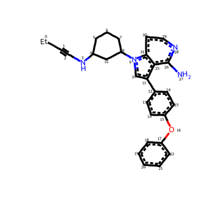 CCC#CNC1CCCC(n2cc(-c3ccc(Oc4ccccc4)cc3)c3c(N)nccc32)C1